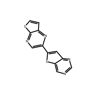 c1ncc2sc(-c3cnc4sccc4n3)cc2n1